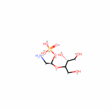 NC[C@H](OC(CO)[C@H](O)CO)OP(=O)(O)O